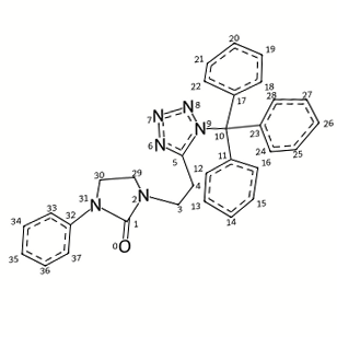 O=C1N(CCc2nnnn2C(c2ccccc2)(c2ccccc2)c2ccccc2)CCN1c1ccccc1